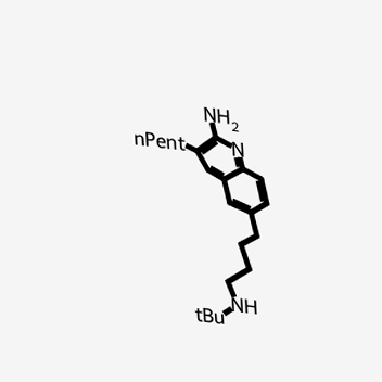 CCCCCc1cc2cc(CCCCNC(C)(C)C)ccc2nc1N